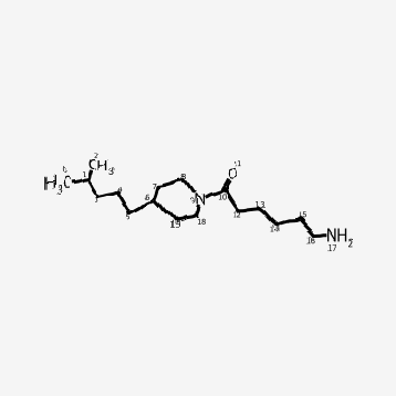 CC(C)CCCC1CCN(C(=O)CCCCCN)CC1